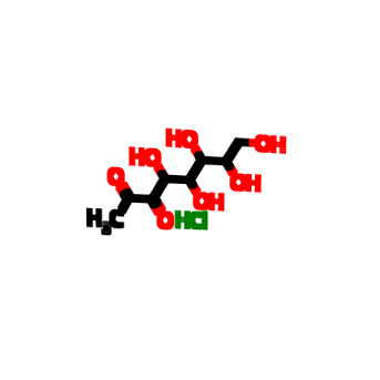 CC(=O)C(=O)C(O)C(O)C(O)C(O)CO.Cl